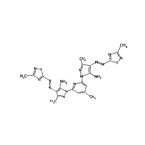 Cc1cc(-n2nc(C)c(N=Nc3nc(C)ns3)c2N)nc(-n2nc(C)c(N=Nc3nc(C)ns3)c2N)c1